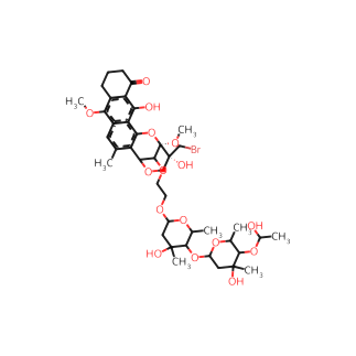 COc1c2c(c(O)c3c4c(c(C)cc13)C1OC[C@](O)(CBr)[C@](OC)(O4)C1OCCOC1CC(C)(O)C(OC3CC(C)(O)C(OC(C)O)C(C)O3)C(C)O1)C(=O)CCC2